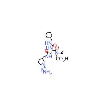 NN=CN1CCC[C@@H](CNC(=O)C[C@H](NC(=O)NCC2CCCCC2)C(=O)N(CC(=O)O)C2CC2)C1